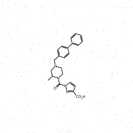 CC1CN(Cc2ccc(-c3ccccc3)cc2)CCN1C(=O)n1ccc(C(=O)O)n1